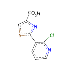 O=C(O)c1csc(-c2cccnc2Cl)n1